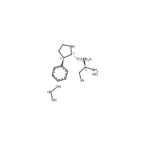 CC(C)C[C@H](N)C(=O)O.Cl.O=C(O)[C@H]1NCC[C@@H]1c1ccccc1.OBO